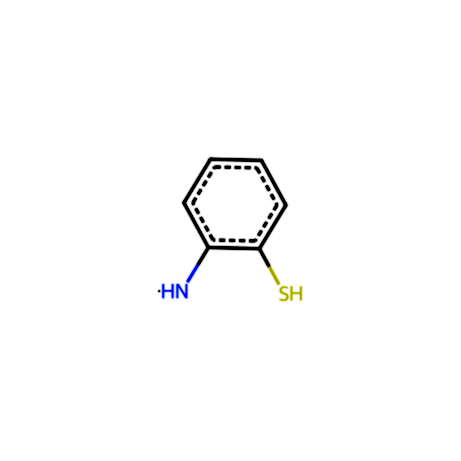 [NH]c1ccccc1S